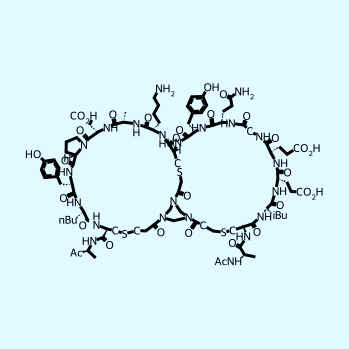 CCCC[C@@H]1NC(=O)[C@H](Cc2ccc(O)cc2)NC(=O)[C@@H]2CCCN2C(=O)[C@H](CC(=O)O)NC(=O)[C@H](C)NC(=O)[C@H](CCCCN)NC(=O)[C@@H]2CSCC(=O)N3CN(CN(C3)C(=O)CCSC[C@@H](C(=O)N[C@@H](C)C(C)=O)NC1=O)C(=O)CCSC[C@H](NC(=O)[C@H](C)NC(C)=O)C(=O)N[C@@H]([C@@H](C)CC)C(=O)N[C@@H](CCC(=O)O)C(=O)N[C@@H](CCC(=O)O)C(=O)NCC(=O)N[C@@H](CCC(N)=O)C(=O)N[C@@H](Cc1ccc(O)cc1)C(=O)N2